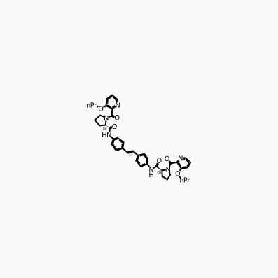 CCCOc1cccnc1C(=O)N1CCC[C@H]1C(=O)Nc1ccc(/C=C/c2ccc(NC(=O)[C@@H]3CCCN3C(=O)c3ncccc3OCCC)cc2)cc1